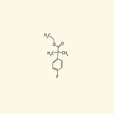 CCOC(=O)C(C)(C)c1ccc(F)cc1